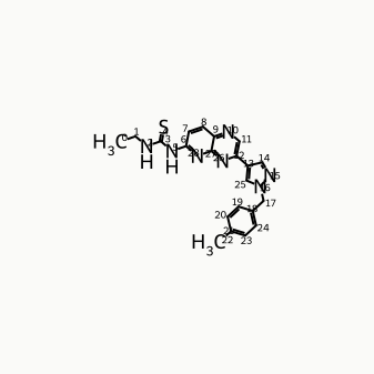 CCNC(=S)Nc1ccc2ncc(-c3cnn(Cc4ccc(C)cc4)c3)nc2n1